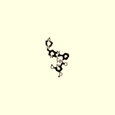 COc1cc(OC)nc(C(=O)Nc2ccccc2-c2nc3cc(CN4CCN(C)CC4)cnc3s2)c1